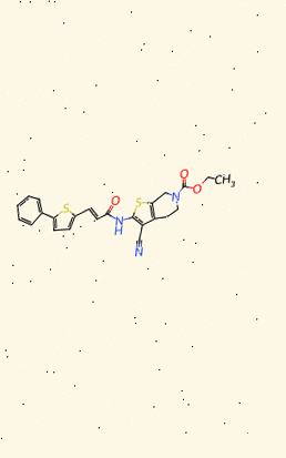 CCOC(=O)N1CCc2c(sc(NC(=O)C=Cc3ccc(-c4ccccc4)s3)c2C#N)C1